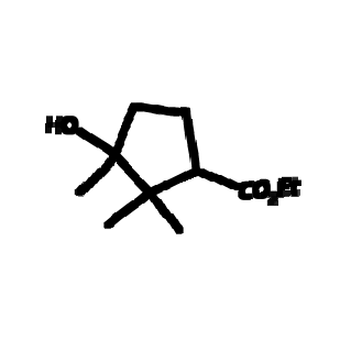 CCOC(=O)C1CCC(C)(O)C1(C)C